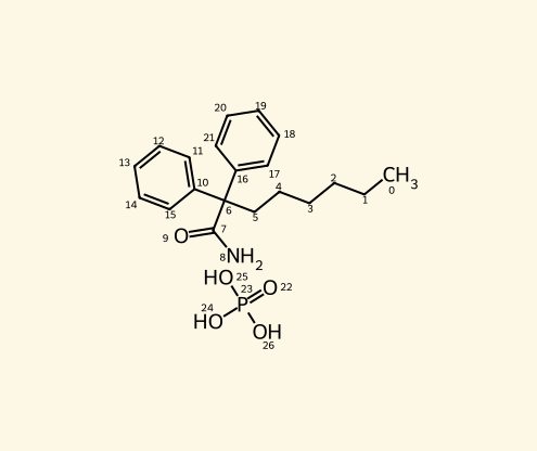 CCCCCCC(C(N)=O)(c1ccccc1)c1ccccc1.O=P(O)(O)O